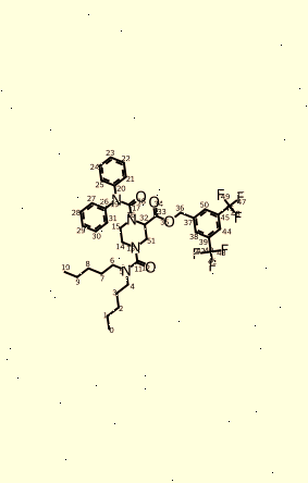 CCCCCN(CCCCC)C(=O)N1CCN(C(=O)N(c2ccccc2)c2ccccc2)C(C(=O)OCc2cc(C(F)(F)F)cc(C(F)(F)F)c2)C1